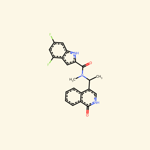 CC(c1c[nH]c(=O)c2ccccc12)N(C)C(=O)c1cc2c(F)cc(F)cc2[nH]1